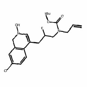 C=CCN(CC(F)CC1=CN(O)Cc2cc(Cl)ccc21)C(=O)OC(C)(C)C